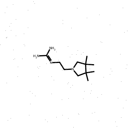 CC1(C)CN(CCN=C(N)N)CC1(C)C